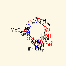 CC[C@H](C)[C@@H]1NC(=O)C(NC(=O)[C@@H](CC(C)C)N(C)C(=O)[C@@H]2CCCN2C(=O)C(C)O)[C@@H](C)OC(=O)[C@H](Cc2ccc(OC)cc2)N(C)C(=O)[C@@H]2CCCN2C(=O)[C@H](CC(C)C)NC(=O)[C@@H](C)C(=O)[C@H](C(C)C)OC(=O)C[C@@H]1O